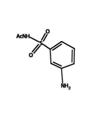 CC(=O)NS(=O)(=O)c1cccc(N)c1